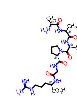 CC(C)[C@H](NC(=O)[C@H](C)NC(=O)[C@H](C)N)C(=O)N1CCC[C@H]1C(=O)NCC(=O)N[C@@H](CCCNC(=N)N)C(=O)O